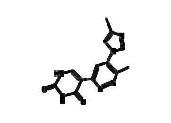 Cc1cn(-c2cc(-c3c[nH]c(=O)[nH]c3=O)nnc2C)cn1